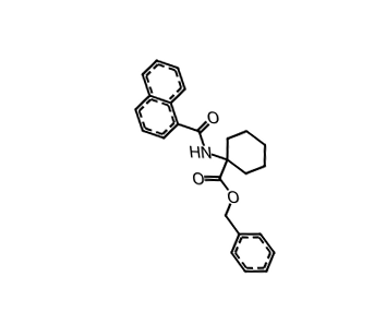 O=C(NC1(C(=O)OCc2ccccc2)CCCCC1)c1cccc2ccccc12